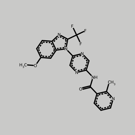 COc1ccc2nc(C(F)(F)F)n(-c3cnc(NC(=O)c4cccnc4C)cn3)c2c1